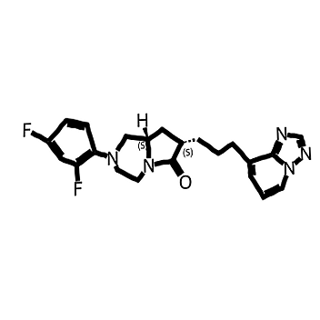 O=C1[C@@H](CCCc2cccn3ncnc23)C[C@H]2CN(c3ccc(F)cc3F)CCN12